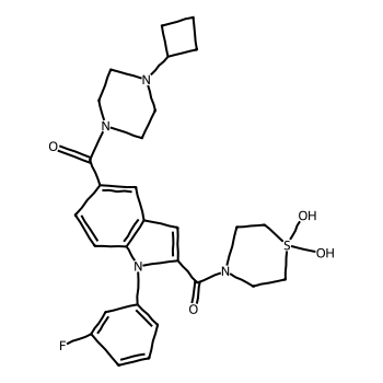 O=C(c1ccc2c(c1)cc(C(=O)N1CCS(O)(O)CC1)n2-c1cccc(F)c1)N1CCN(C2CCC2)CC1